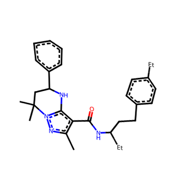 CCc1ccc(CCC(CC)NC(=O)c2c(C)nn3c2NC(c2ccccc2)CC3(C)C)cc1